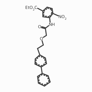 CCOC(=O)c1ccc([N+](=O)[O-])c(NC(=O)COCCc2ccc(-c3ccccc3)cc2)c1